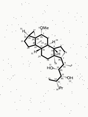 CO[C@@H]1C[C@H]2[C@@H]3CC[C@H]([C@H](C)[C@@H](O)[C@H](O)[C@@H](C)C(C)C)[C@@]3(C)CC[C@@H]2[C@@]2(C)CC[C@H]3C[C@]312